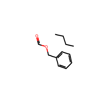 CCCC.O=COCc1ccccc1